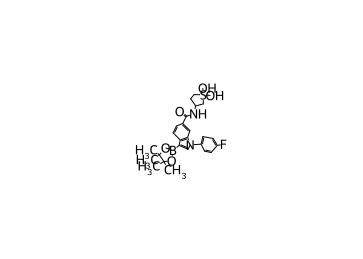 CC1(C)OB(c2cn(-c3ccc(F)cc3)c3cc(C(=O)NC4CCS(O)(O)C4)ccc23)OC1(C)C